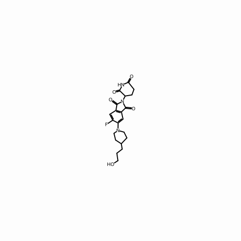 O=C1CCC(N2C(=O)c3cc(F)c(N4CCC(CCCO)CC4)cc3C2=O)C(=O)N1